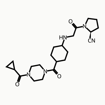 N#C[C@@H]1CCCN1C(=O)CNC1CCC(C(=O)N2CCN(C(=O)C3CC3)CC2)CC1